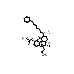 C=CCN1CC[C@]23c4c5ccc(OC(C)=O)c4OC2C(N(C)CCCCCCc2ccccc2)CC[C@@]3(O)[C@H]1C5